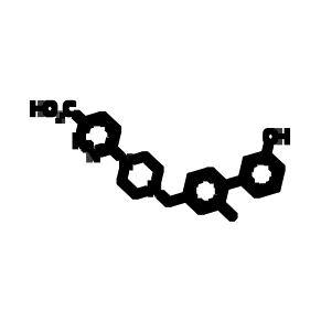 Cc1cc(CN2CCN(c3ccc(C(=O)O)nn3)CC2)ccc1-c1cccc(O)c1